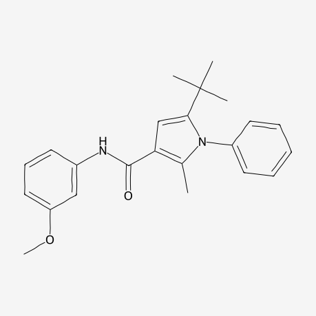 COc1cccc(NC(=O)c2cc(C(C)(C)C)n(-c3ccccc3)c2C)c1